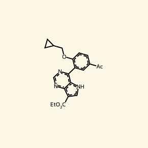 CCOC(=O)c1c[nH]c2c(-c3cc(C(C)=O)ccc3OCC3CC3)ncnc12